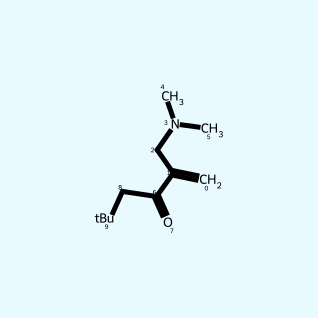 C=C(CN(C)C)C(=O)CC(C)(C)C